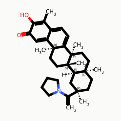 C=C(N1CCCC1)[C@]1(C)CC[C@]2(C)CC[C@]3(C)C4=CC=C5C(=CC(=O)C(O)=C5C)[C@]4(C)CC[C@@]3(C)[C@@H]2C1